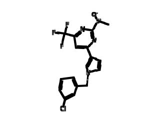 C[S+]([O-])c1nc(-c2ccn(Cc3cccc(Cl)c3)c2)cc(C(F)(F)F)n1